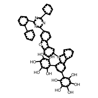 Oc1c(O)c(O)c(-c2cc(-c3c(O)c(O)c(O)c(O)c3O)c3c(c2)c2ccccc2n3-c2ccc3oc4cc(-c5nc(-c6ccccc6)nc(-c6ccccc6-c6ccccc6)n5)ccc4c3c2)c(O)c1O